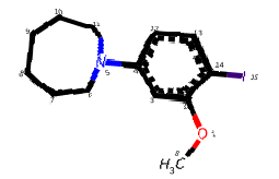 COc1cc(N2CCCCCC2)ccc1I